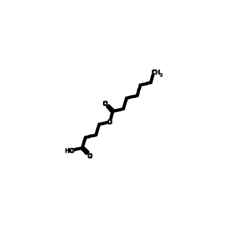 CCCCCCC(=O)OCCCC(=O)O